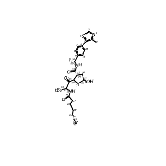 Cc1ncsc1-c1ccc([C@@H](C)NC(=O)[C@@H]2C[C@@H](O)CC2C(=O)C(NC(=O)CCCCCBr)C(C)(C)C)cc1